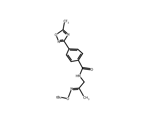 CC(CNC(=O)c1ccc(-c2noc(C(F)(F)F)n2)cc1)=NOC(C)(C)C